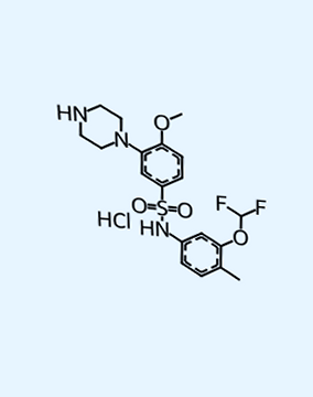 COc1ccc(S(=O)(=O)Nc2ccc(C)c(OC(F)F)c2)cc1N1CCNCC1.Cl